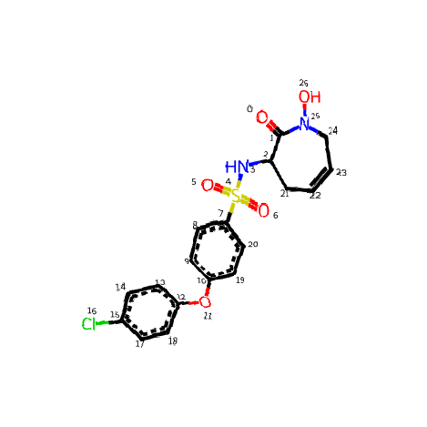 O=C1C(NS(=O)(=O)c2ccc(Oc3ccc(Cl)cc3)cc2)CC=CCN1O